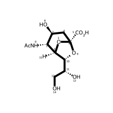 CC(=O)N[C@H]1[C@H]2O[C@@](C(=O)O)(C[C@@H]1O)O[C@@H]2[C@H](O)CO